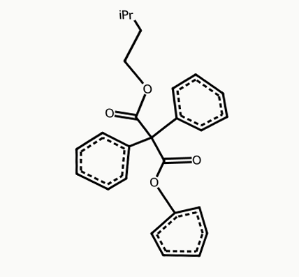 CC(C)CCOC(=O)C(C(=O)Oc1ccccc1)(c1ccccc1)c1ccccc1